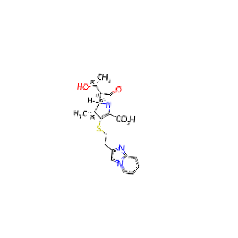 C[C@@H](O)[C@H]1C(=O)N2C(C(=O)O)=C(SCCc3cn4ccccc4n3)[C@H](C)[C@H]12